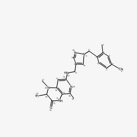 Cc1cc(C#N)ccc1Cn1cc(CNc2cc3c(c(C)n2)NC(=O)C(C(C)C)N3C)cn1